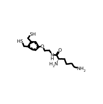 NCCCC[C@H](N)C(=O)NCCOc1ccc(CS)c(CS)c1